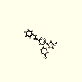 O=C1CCC(C(OC(=O)NCc2ccccc2)C(=O)N2CC[C@H](F)C2)CC1